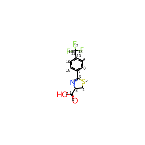 O=C(O)C1CSC(c2ccc(C(F)(F)F)cc2)=N1